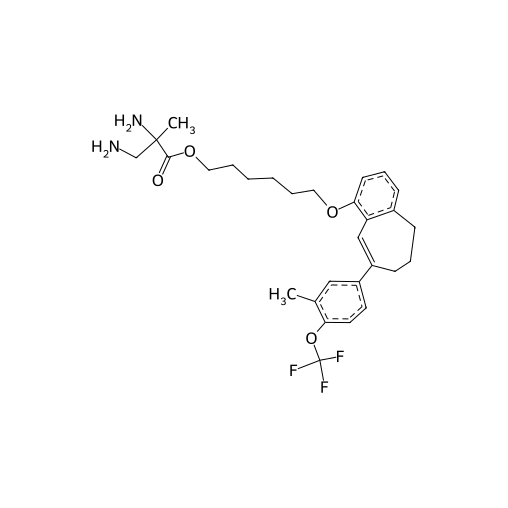 Cc1cc(C2=Cc3c(cccc3OCCCCCCOC(=O)C(C)(N)CN)CCC2)ccc1OC(F)(F)F